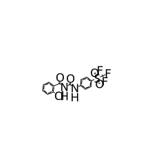 O=C(NC(=O)c1ccccc1Cl)Nc1ccc(S(=O)(=O)C(F)(F)F)cc1